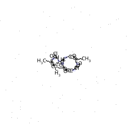 CCCCC[C@H]1C/C=C2\C(=O)C(/C3=C/C[C@H]4C=C(Cl)C(=O)/C4=C/C[C@H](CCCCC)OC(=O)CCC3)=C[C@@H]2C/C=C\CCCC(=O)O[C@@H](CCCCC)C/C=C2/C(=O)C=C[C@@H]2C/C=C\CCCC(=O)O1